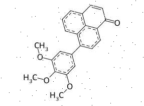 COc1cc(-c2ccc3c4c(cccc24)C=CC3=O)cc(OC)c1OC